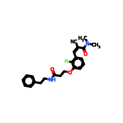 CN(C)C(=O)C(C#N)=Cc1cccc(OCCC(=O)N[CH]Cc2ccccc2)c1F